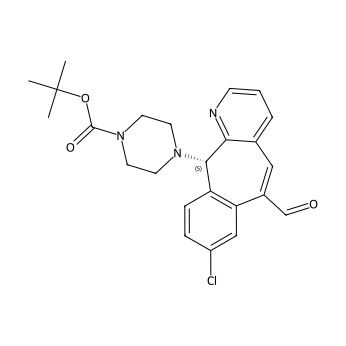 CC(C)(C)OC(=O)N1CCN([C@H]2c3ccc(Cl)cc3C(C=O)=Cc3cccnc32)CC1